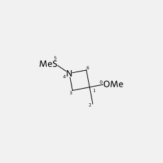 COC1(C)CN(SC)C1